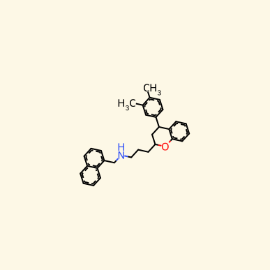 Cc1ccc(C2CC(CCCNCc3cccc4ccccc34)Oc3ccccc32)cc1C